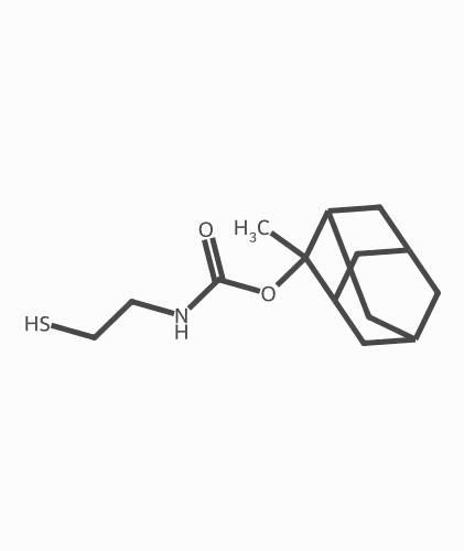 CC1(OC(=O)NCCS)C2CC3CC(C2)CC1C3